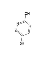 Oc1ccc(S)nn1